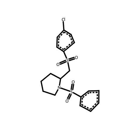 O=S(=O)(CC1CCCCN1S(=O)(=O)c1ccccc1)c1ccc(Cl)cc1